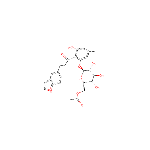 CC(=O)OC[C@H]1O[C@@H](Oc2cc(C)cc(O)c2C(=O)CCc2ccc3occc3c2)[C@H](O)[C@@H](O)[C@@H]1O